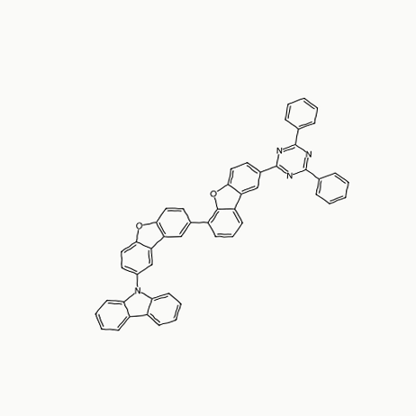 c1ccc(-c2nc(-c3ccccc3)nc(-c3ccc4oc5c(-c6ccc7oc8ccc(-n9c%10ccccc%10c%10ccccc%109)cc8c7c6)cccc5c4c3)n2)cc1